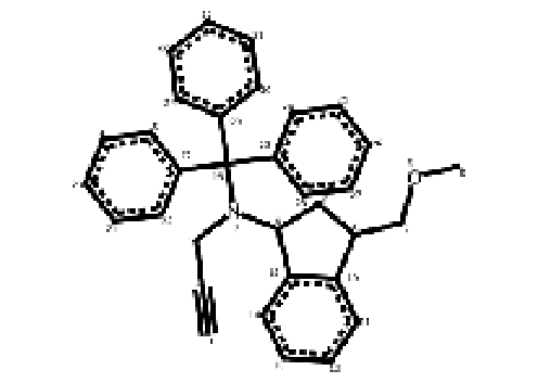 C#CCN(C1CC(COC)c2ccccc21)C(c1ccccc1)(c1ccccc1)c1ccccc1